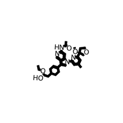 CCOC(O)CC1CC=C(c2cn(-c3cc(C)cc([C@]4(OC)CCOC4)n3)c3cc(NC(C)=O)ncc23)CC1